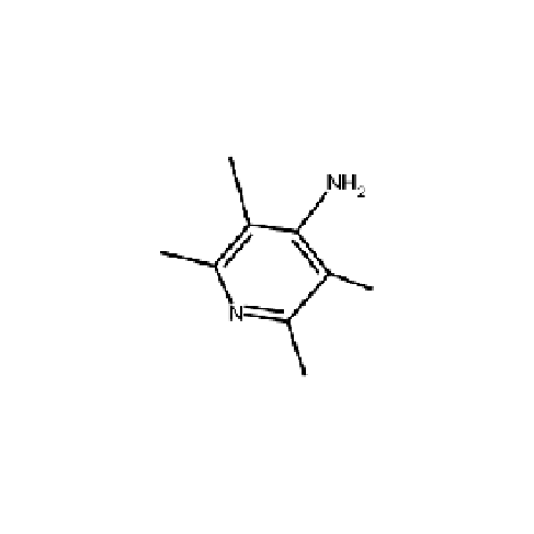 Cc1nc(C)c(C)c(N)c1C